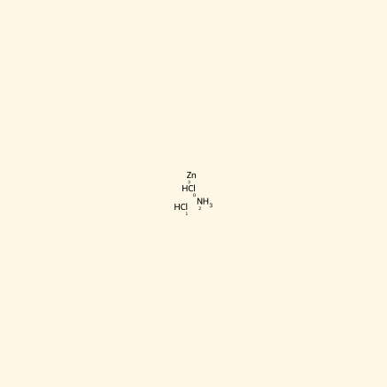 Cl.Cl.N.[Zn]